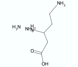 N.N.NCCC(N)CC(=O)O